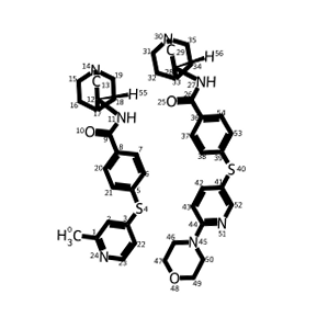 Cc1cc(Sc2ccc(C(=O)N[C@H]3CN4CCC3CC4)cc2)ccn1.O=C(N[C@H]1CN2CCC1CC2)c1ccc(Sc2ccc(N3CCOCC3)nc2)cc1